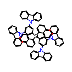 c1ccc2c([Si](c3cc(-n4c5ccccc5c5ccccc54)cc(-n4c5ccccc5c5ccccc54)c3)(c3cc(-n4c5ccccc5c5ccccc54)cc(-n4c5ccccc5c5ccccc54)c3)c3cccc4ccccc34)cccc2c1